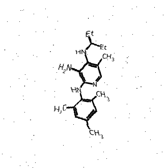 CCC(CC)Nc1c(C)cnc(Nc2c(C)cc(C)cc2C)c1N